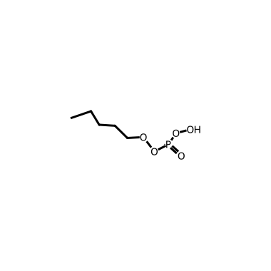 CCCCCOO[P](=O)OO